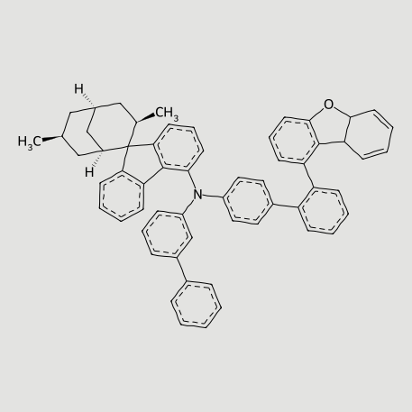 C[C@H]1C[C@@H]2C[C@H](C1)C1(c3ccccc3-c3c(N(c4ccc(-c5ccccc5-c5cccc6c5C5C=CC=CC5O6)cc4)c4cccc(-c5ccccc5)c4)cccc31)[C@H](C)C2